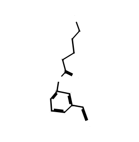 O=Cc1cccc(OC(=O)CCCCCl)c1